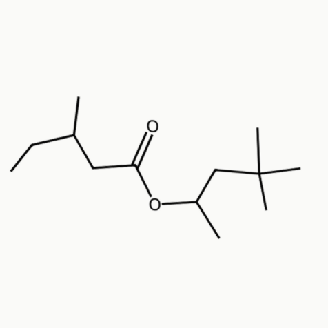 CCC(C)CC(=O)OC(C)CC(C)(C)C